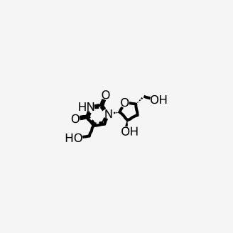 O=c1[nH]c(=O)n([C@@H]2O[C@H](CO)C[C@H]2O)cc1CO